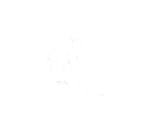 CNC(OC(=O)/C=C/C(=O)O)c1cn(S(=O)(=O)c2cccnc2C)c(-c2cccnc2F)c1F